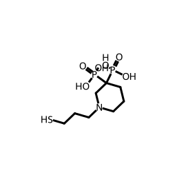 O=P(O)(O)C1(P(=O)(O)O)CCCN(CCCS)C1